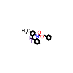 Cc1ccc2c(c1)C(I)(I)c1ccccc1N2C(=O)OCc1ccccc1